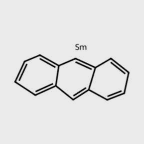 [Sm].c1ccc2cc3ccccc3cc2c1